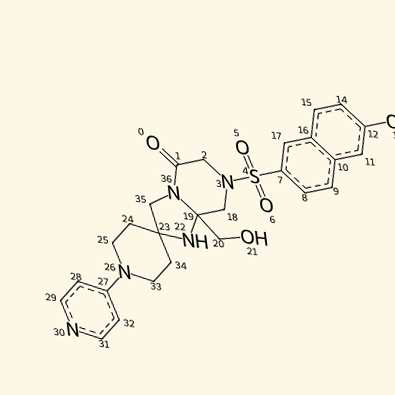 O=C1CN(S(=O)(=O)c2ccc3cc(Cl)ccc3c2)CC2(CO)NC3(CCN(c4ccncc4)CC3)CN12